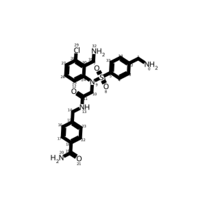 NCc1ccc(S(=O)(=O)N(CC(=O)NCc2ccc(C(N)=O)cc2)c2cccc(Cl)c2CN)cc1